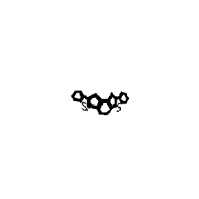 c1ccc2c3c(sc2c1)C1=C(C3)C2=C(CC1)c1sc3ccccc3c1C2